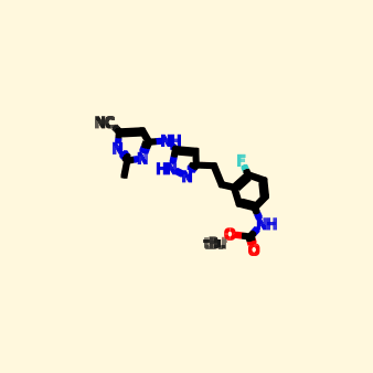 Cc1nc(C#N)cc(Nc2cc(CCc3cc(NC(=O)OC(C)(C)C)ccc3F)n[nH]2)n1